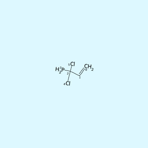 C=CC(P)(Cl)Cl